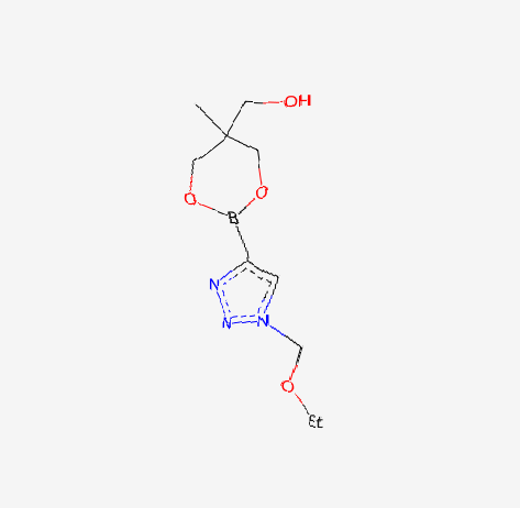 CCOCn1cc(B2OCC(C)(CO)CO2)nn1